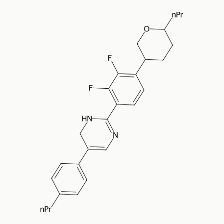 CCCc1ccc(C2=CN=C(c3ccc(C4CCC(CCC)OC4)c(F)c3F)NC2)cc1